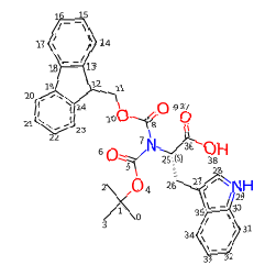 CC(C)(C)OC(=O)N(C(=O)OCC1c2ccccc2-c2ccccc21)[C@@H](Cc1c[nH]c2ccccc12)C(=O)O